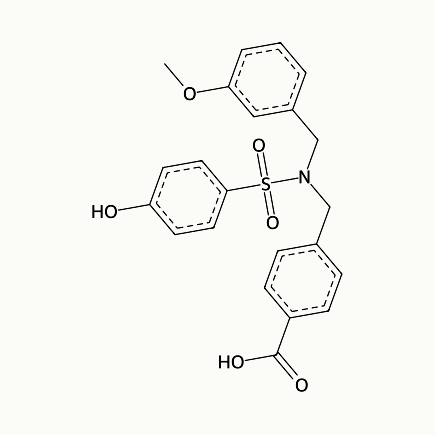 COc1cccc(CN(Cc2ccc(C(=O)O)cc2)S(=O)(=O)c2ccc(O)cc2)c1